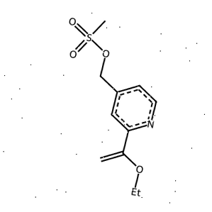 C=C(OCC)c1cc(COS(C)(=O)=O)ccn1